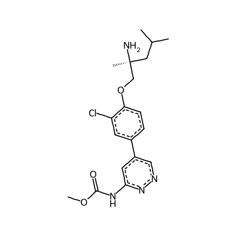 COC(=O)Nc1cc(-c2ccc(OC[C@@](C)(N)CC(C)C)c(Cl)c2)cnn1